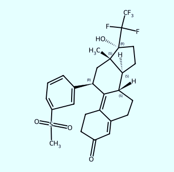 C[C@]12C[C@H](c3cccc(S(C)(=O)=O)c3)C3=C4CCC(=O)C=C4CC[C@H]3[C@@H]1CC[C@]2(O)C(F)(F)C(F)(F)F